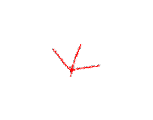 [CH2]CCCc1cc(SCCCCCCCCCCCCCCCCCCCCCC)c(SCCCCCCCCCCCCCCCCCCCCCC)c(SCCCCCCCCCCCCCCCCCCCCCC)c1